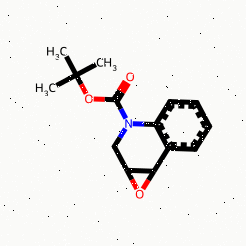 CC(C)(C)OC(=O)N1CC2OC2c2ccccc21